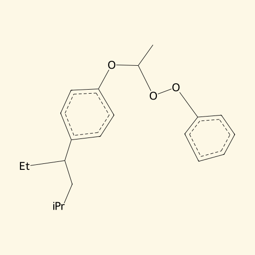 CCC(CC(C)C)c1ccc(OC(C)OOc2ccccc2)cc1